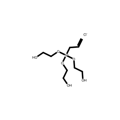 C=CC[N+](OCCO)(OCCO)OCCO.[Cl-]